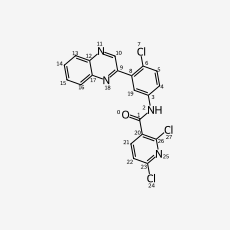 O=C(Nc1ccc(Cl)c(-c2cnc3ccccc3n2)c1)c1ccc(Cl)nc1Cl